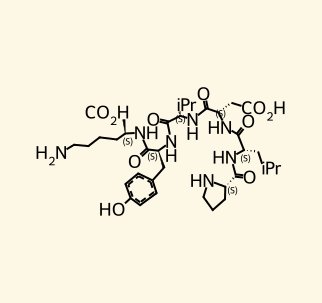 CC(C)C[C@H](NC(=O)[C@@H]1CCCN1)C(=O)N[C@@H](CC(=O)O)C(=O)N[C@H](C(=O)N[C@@H](Cc1ccc(O)cc1)C(=O)N[C@@H](CCCCN)C(=O)O)C(C)C